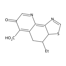 CCC1CC2=C(C(=O)O)C(=O)C=NC2=C2N=CSC21